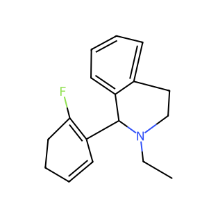 CCN1CCc2ccccc2C1C1=C(F)CCC=C1